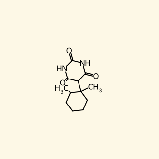 CC1CCCCC1(C)C1C(=O)NC(=O)NC1=O